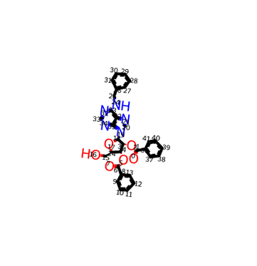 O=C(O[C@@H]1[C@H](OC(=O)c2ccccc2)[C@@H](CO)O[C@H]1n1cnc2c(NCc3ccccc3)ncnc21)c1ccccc1